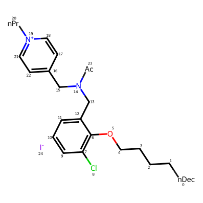 CCCCCCCCCCCCCCOc1c(Cl)cccc1CN(Cc1cc[n+](CCC)cc1)C(C)=O.[I-]